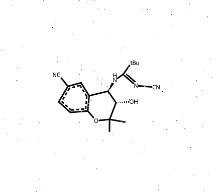 CC(C)(C)C(=NC#N)N[C@@H]1c2cc(C#N)ccc2OC(C)(C)[C@H]1O